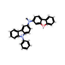 CN(c1ccc2c(c1)oc1ccccc12)c1ccc2c(c1)c1ccccc1n2-c1ccccc1